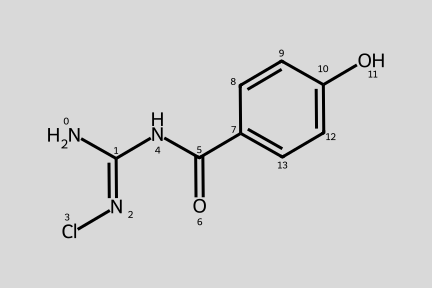 NC(=NCl)NC(=O)c1ccc(O)cc1